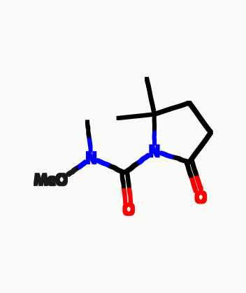 CON(C)C(=O)N1C(=O)CCC1(C)C